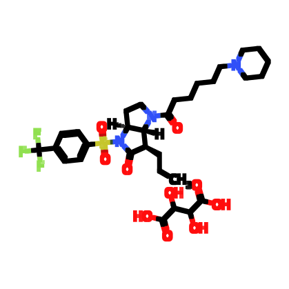 CCC[C@H]1C(=O)N(S(=O)(=O)c2ccc(C(F)(F)F)cc2)[C@H]2CCN(C(=O)CCCCCN3CCCCC3)[C@H]12.O=C(O)C(O)C(O)C(=O)O